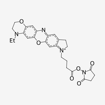 CCN1CCOc2cc3c(cc21)Oc1cc2c(cc1=N3)CC[N+]=2CCCC(=O)ON1C(=O)CCC1=O